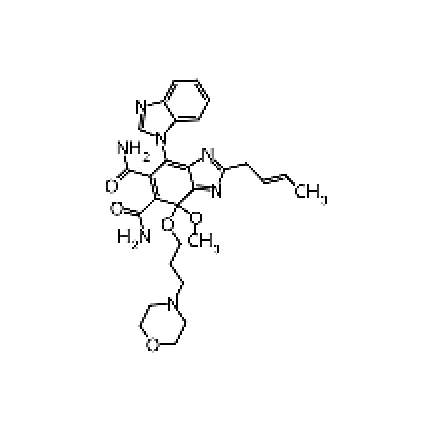 CC=CCC1=NC2=C(n3cnc4ccccc43)C(C(N)=O)=C(C(N)=O)C(OC)(OCCCN3CCOCC3)C2=N1